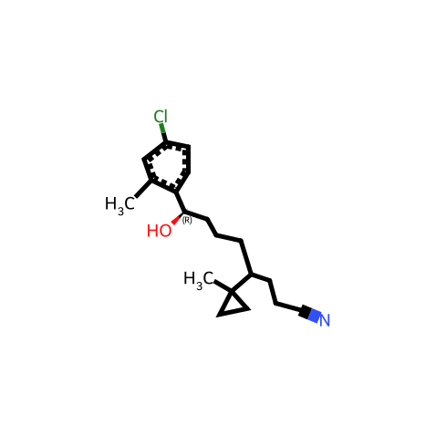 Cc1cc(Cl)ccc1[C@H](O)CCCC(CCC#N)C1(C)CC1